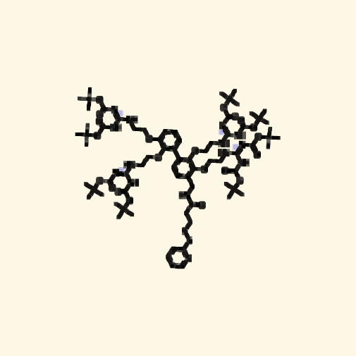 CC(C)(C)OC(=O)/N=C(/NCCOc1cccc(-c2ccc(CNC(=O)CCSSc3ccccn3)c(OCCN/C(=N/C(=O)OC(C)(C)C)NC(=O)OC(C)(C)C)c2OCCN/C(=N/C(=O)OC(C)(C)C)NC(=O)OC(C)(C)C)c1OCCN/C(=N/C(=O)OC(C)(C)C)NC(=O)OC(C)(C)C)NC(=O)OC(C)(C)C